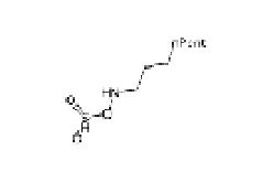 CCCCCCCCNO[SH](=O)=O